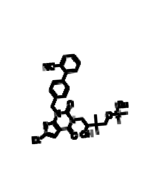 CCc1cc2c(=O)n(CC(O)C(C)(C)CO[Si](C)(C)C(C)(C)C)c(=O)n(Cc3ccc(-c4ccccc4C#N)cc3)c2s1